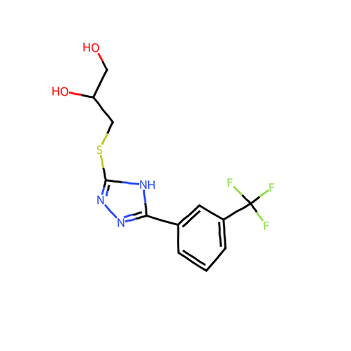 OCC(O)CSc1nnc(-c2cccc(C(F)(F)F)c2)[nH]1